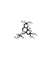 CC1(C)CC2CO[C@@]3(COS(N)(=O)=O)CC(C)(C)O[C@H]3C2O1